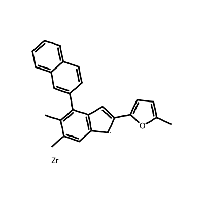 Cc1ccc(C2=Cc3c(cc(C)c(C)c3-c3ccc4ccccc4c3)[CH]2)o1.[Zr]